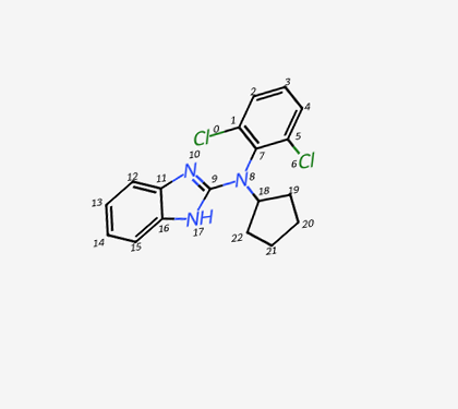 Clc1cccc(Cl)c1N(c1nc2ccccc2[nH]1)C1CCCC1